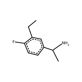 CCc1cc(C(C)N)ccc1F